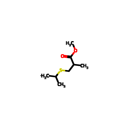 [CH2]C(C)SCC(C)C(=O)OC